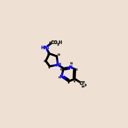 O=C(O)NC1CCN(c2ncc(C(F)(F)F)cn2)C1